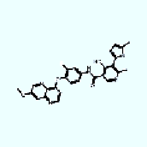 COc1cnc2c(Oc3ccc(NC(=O)c4cnc(C)c(-c5ccc(C)s5)c4O)cc3F)ccnc2c1